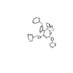 CC1O[C@H](Oc2ccccc2)CC(OCc2ccccc2)[C@H]1OCc1ccccc1